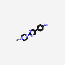 CC(C)N1CCN(c2ncc(-c3ccc(N)cc3)cn2)CC1